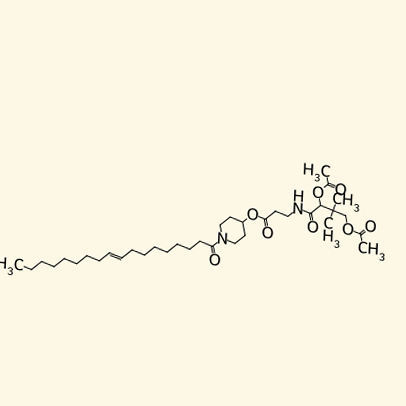 CCCCCCCCC=CCCCCCCCC(=O)N1CCC(OC(=O)CCNC(=O)C(OC(C)=O)C(C)(C)COC(C)=O)CC1